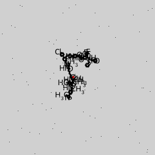 Cc1ncsc1-c1ccc([C@H](C)NC(=O)[C@@H]2C[C@@H](O)CN2C(=O)[C@@H](NC(=O)CCCCCC(=O)N[C@H]2CCCN(CC3(C)CCC(c4ccc(Cl)cc4)=C(CN4CCN(c5ccc(C(=O)NS(=O)(=O)c6ccc(N[C@H](CCN7CCOCC7)CSc7ccccc7)c(S(=O)(=O)C(F)(F)F)c6)cc5)CC4)C3)C2)C(C)(C)C)cc1